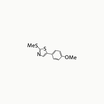 COc1ccc(-c2cnc(SC)s2)cc1